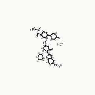 CCCN(C)C(=O)c1ccc(-c2ccc(Cl)cc2)c(COc2ccc(-c3nc4cc(C(=O)O)ccc4n3C3CCCCC3)c(F)c2)c1.Cl